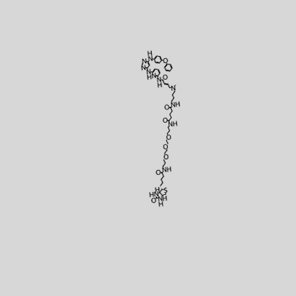 CN(C/C=C/C(=O)Nc1cccc(Nc2cc(Nc3ccc(Oc4ccccc4)cc3)ncn2)n1)CCCCNC(=O)CCCC(=O)NCCCOCCOCCOCCCNC(=O)CCCC[C@@H]1SC[C@@H]2NC(=O)N[C@@H]21